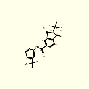 CCCC(C)(C)c1cccc(NC(=O)c2ccc3c(c2)C(=O)N(C(C)(CC)CC)C3=O)c1